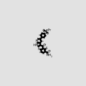 CCCS(=O)(=O)c1ccc(-c2cnc3[nH]cc(C(=O)c4c(F)ccc(C(N)=O)c4F)c3c2)cc1